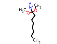 CCCCCCCC(N)(OC)OC